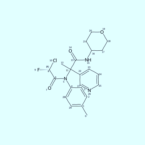 Cc1ccc(N(C(=O)[C@H](F)Cl)C(C)(C(=O)NC2CCOCC2)c2cccnc2)cc1